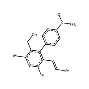 CCCC=Cc1c(C(C)C)nc(C(C)C)c(CO)c1-c1ccc([S+](C)[O-])cc1